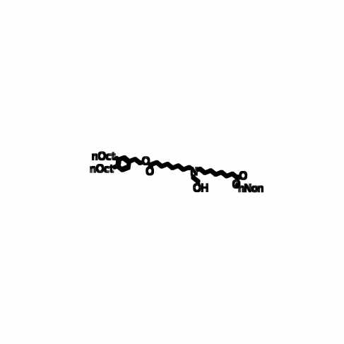 CCCCCCCCCOC(=O)CCCCCCCN(CCO)CCCCCCCC(=O)OCCc1ccc(CCCCCCCC)c(CCCCCCCC)c1